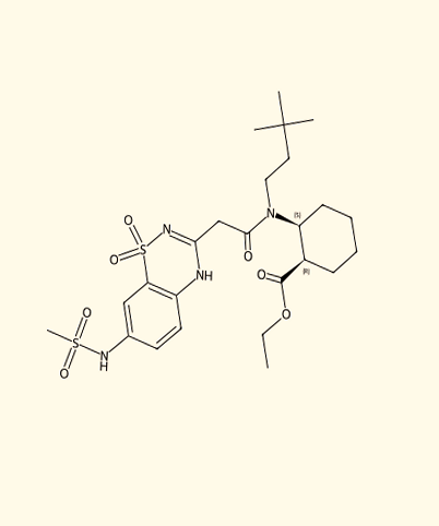 CCOC(=O)[C@@H]1CCCC[C@@H]1N(CCC(C)(C)C)C(=O)CC1=NS(=O)(=O)c2cc(NS(C)(=O)=O)ccc2N1